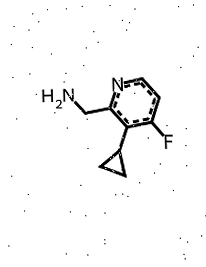 NCc1nccc(F)c1C1CC1